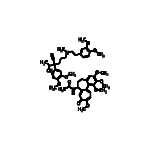 COc1cc2c(c(OC)c1OC)-c1ccc(OC)c(=O)cc1[C@@H](NC(C)=O)CC2.COc1ccc(CCN(C)CCCC(C#N)(c2ccc(OC)c(OC)c2)C(C)C)cc1OC